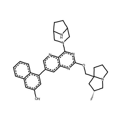 Oc1cc(-c2cnc3c(N4CC5CCC(C4)N5)nc(OCC45CCCN4C[C@H](F)C5)nc3c2)c2ccccc2c1